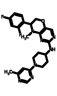 Cc1cc(N2CCC(Nc3ncc4c(n3)N(C)C(c3ccc(F)cc3F)CO4)CC2)ncn1